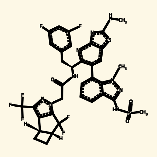 CNc1nc2nc([C@H](Cc3cc(F)cc(F)c3)NC(=O)Cn3nc(C(F)(F)F)c4c3C(F)(F)[C@@H]3CC[C@H]43)c(-c3cccc4c(NS(C)(=O)=O)nn(C)c34)cc2s1